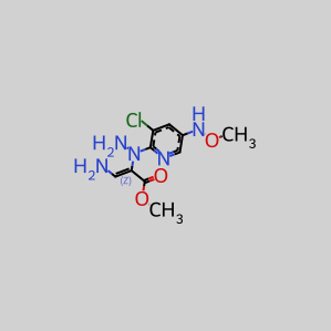 CONc1cnc(N(N)/C(=C\N)C(=O)OC)c(Cl)c1